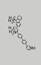 CC(/C=C(\N)c1ccc(-c2ccc(C3=CC=CNC3)cc2)cc1)c1ccc2c(c1)C(C)(C)C1=C2C=CCC1